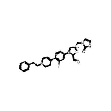 O=CC1O[C@H](Cn2ccoc2=O)CN1c1ccc(C2=CCN(CCc3ccccc3)CC2)c(F)c1